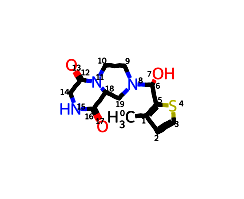 Cc1ccsc1C(O)N1CCN2C(=O)CNC(=O)C2C1